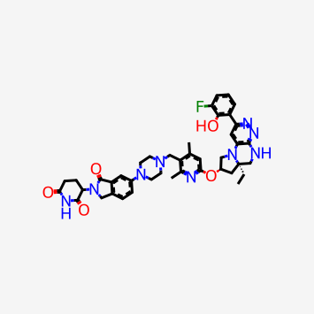 CC[C@@]12CNc3nnc(-c4cccc(F)c4O)cc3N1C[C@H](Oc1cc(C)c(CN3CCN(c4ccc5c(c4)C(=O)N(C4CCC(=O)NC4=O)C5)CC3)c(C)n1)C2